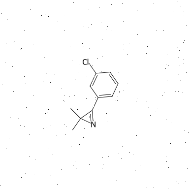 CC1(C)N=C1c1cccc(Cl)c1